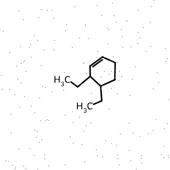 CCC1C=CCCC1CC